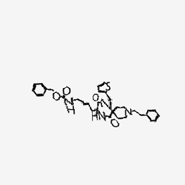 O=C(NCCCC[C@@H]1NC(=O)C2(CCN(CCc3ccccc3)CC2)N(Cc2cccs2)C1=O)OCc1ccccc1